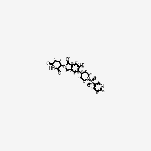 O=C1CCC(N2Cc3cc(C4CCN(S(=O)(=O)c5cccnc5)CC4)c(F)cc3C2=O)C(=O)N1